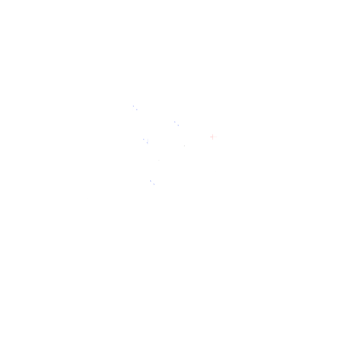 OC1(c2ccc3ccccc3c2)N=C2N=CC=C3c4ccccc4N=C1N32